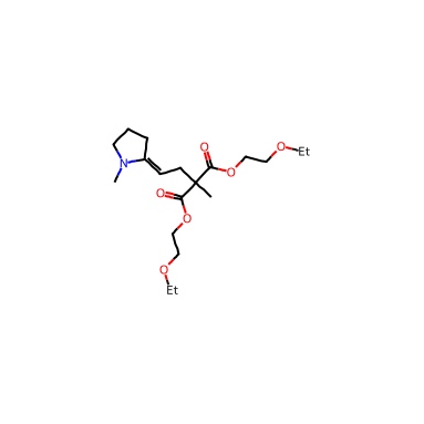 CCOCCOC(=O)C(C)(C/C=C1\CCCN1C)C(=O)OCCOCC